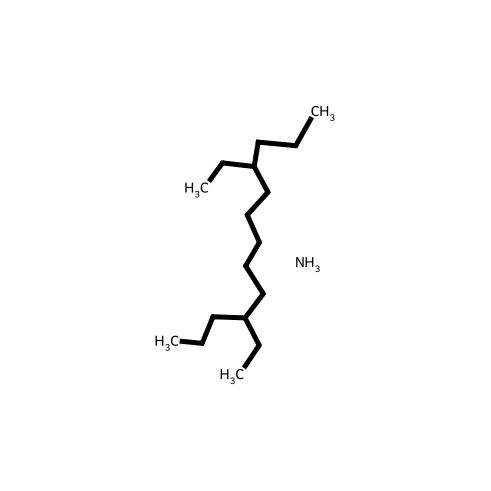 CCCC(CC)CCCCCC(CC)CCC.N